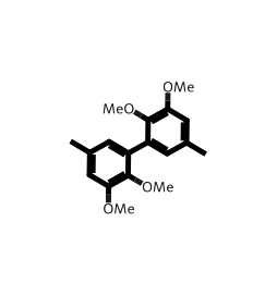 COc1cc(C)cc(-c2cc(C)cc(OC)c2OC)c1OC